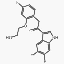 O=C(Cc1ccc(F)cc1OCCO)c1c[nH]c2cc(F)c(F)cc12